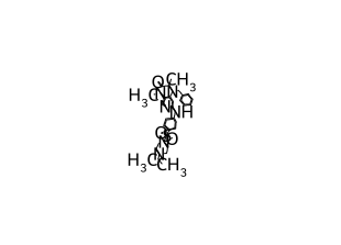 CC(C)N1CCN(S(=O)(=O)c2ccc(Nc3cc4c(cn3)N(C)C(=O)C(C)N4Cc3ccccc3)cc2)CC1